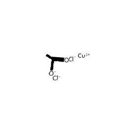 CC(=O)[O-].[Cl-].[Cl-].[Cu+3]